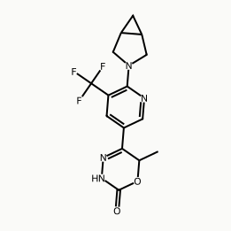 CC1OC(=O)NN=C1c1cnc(N2CC3CC3C2)c(C(F)(F)F)c1